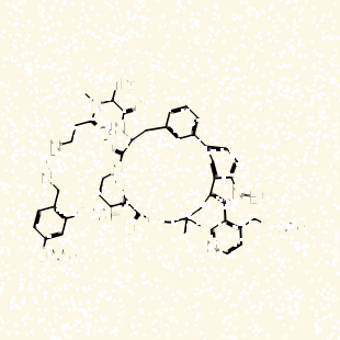 CCn1c(-c2cnccc2COC)c2c3cc(ccc31)-c1cccc(c1)C[C@H](NC(=O)C(C(C)C)N(C)C(=O)CCN=C=NCc1ccc(OC)cc1OC)C(=O)N1CCC[C@H](N1)C(=O)OCC(C)(C)C2